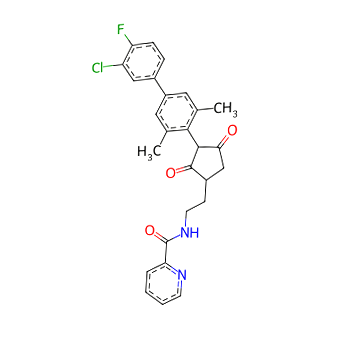 Cc1cc(-c2ccc(F)c(Cl)c2)cc(C)c1C1C(=O)CC(CCNC(=O)c2ccccn2)C1=O